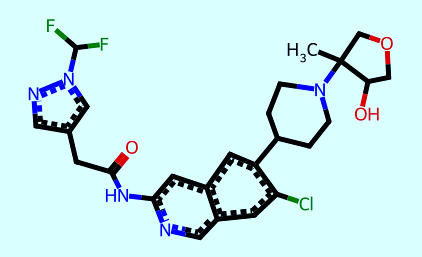 CC1(N2CCC(c3cc4cc(NC(=O)Cc5cnn(C(F)F)c5)ncc4cc3Cl)CC2)COCC1O